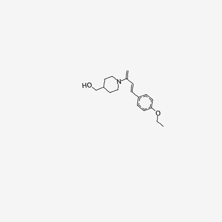 C=C(/C=C/c1ccc(OCC)cc1)N1CCC(CO)CC1